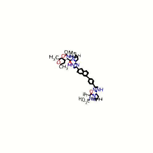 COC(=O)NC(C(=O)N1[C@@H]2C[C@@H]2C[C@H]1c1nc(-c2ccc3cc(-c4ccc(-c5c[nH]c([C@@H]6C[C@H]7C[C@H]7N6C(=O)[C@@H](NC(=O)O)C(C)C)n5)cc4)ccc3c2)c[nH]1)[C@H]1C[C@@H](C)O[C@@H](C)C1